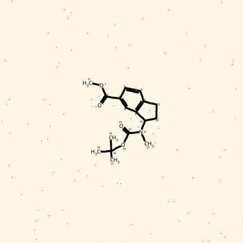 COC(=O)c1ccc2c(c1)C(N(C)C(=O)OC(C)(C)C)CC2